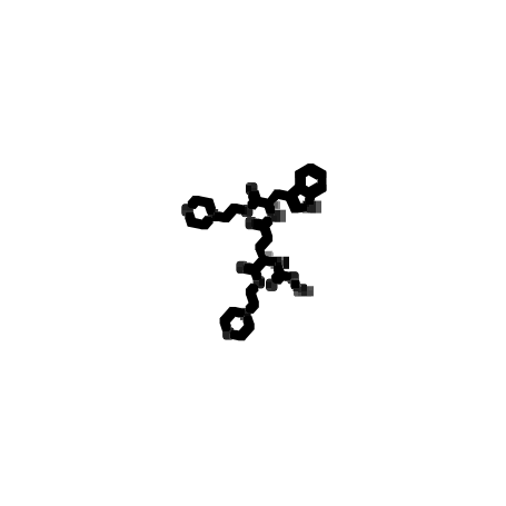 CC(C)(C)OC(=O)N[C@H](CCC(=O)N[C@H](Cc1c[nH]c2ccccc12)C(=O)OCCN1CCOCC1)C(=O)OCCN1CCOCC1